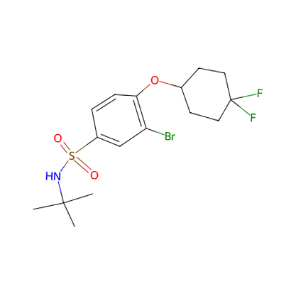 CC(C)(C)NS(=O)(=O)c1ccc(OC2CCC(F)(F)CC2)c(Br)c1